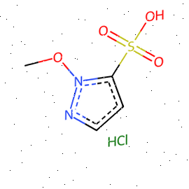 COn1nccc1S(=O)(=O)O.Cl